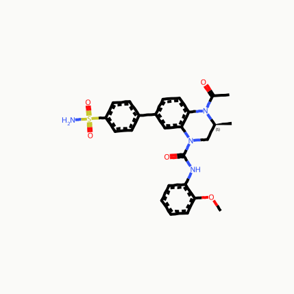 COc1ccccc1NC(=O)N1C[C@H](C)N(C(C)=O)c2ccc(-c3ccc(S(N)(=O)=O)cc3)cc21